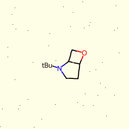 CC(C)(C)N1CCC2OCC21